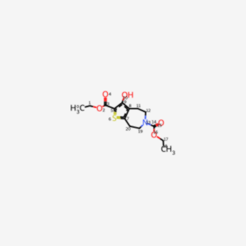 CCOC(=O)c1sc2c(c1O)CCN(C(=O)OCC)CC2